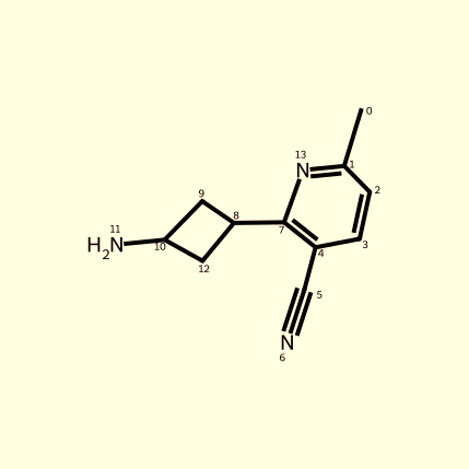 Cc1ccc(C#N)c(C2CC(N)C2)n1